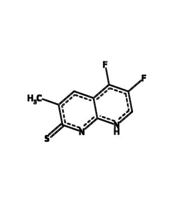 Cc1cc2c(F)c(F)c[nH]c-2nc1=S